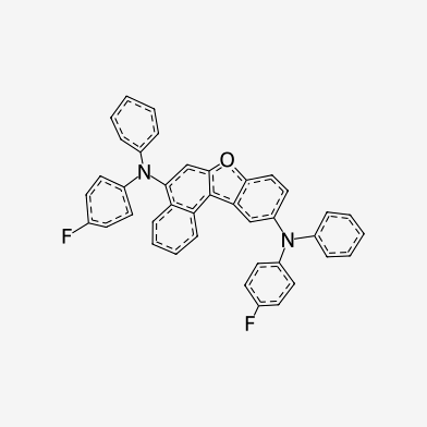 Fc1ccc(N(c2ccccc2)c2ccc3oc4cc(N(c5ccccc5)c5ccc(F)cc5)c5ccccc5c4c3c2)cc1